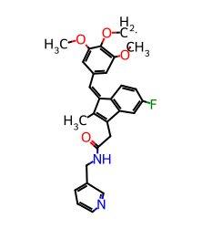 [CH2]Oc1c(OC)cc(/C=C2/C(C)=C(CC(=O)NCc3cccnc3)c3cc(F)ccc32)cc1OC